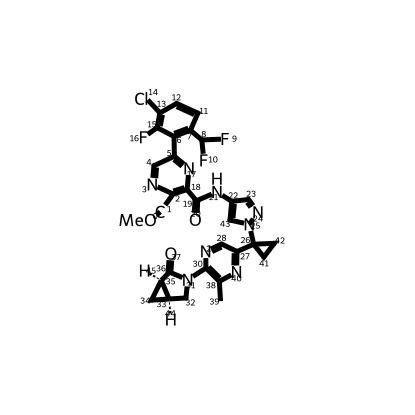 COCc1ncc(-c2c(C(F)F)ccc(Cl)c2F)nc1C(=O)Nc1cnn(C2(c3cnc(N4C[C@H]5C[C@H]5C4=O)c(C)n3)CC2)c1